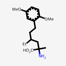 CCC(CCc1cc(OC)ccc1OC)CC(C)(N)C(=O)O